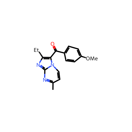 CCc1nc2nc(C)ccn2c1C(=O)c1ccc(OC)cc1